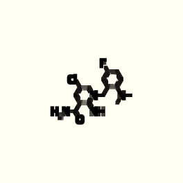 CN(C)c1ccc(F)cc1Cn1cc(Cl)cc(C(N)=O)c1=N